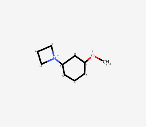 COC1CCCC(N2CCC2)C1